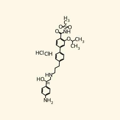 CC(C)Oc1cc(-c2ccc(CCCNC[C@H](O)c3ccc(N)cc3)cc2)ccc1C(=O)NS(C)(=O)=O.Cl.Cl